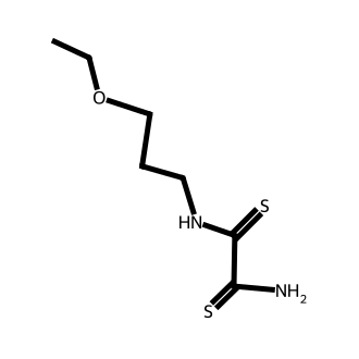 CCOCCCNC(=S)C(N)=S